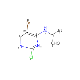 CCC(C=O)Nc1nc(Cl)ncc1Br